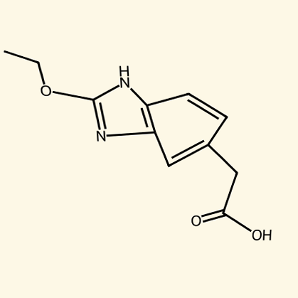 CCOc1nc2cc(CC(=O)O)ccc2[nH]1